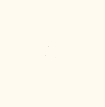 CCC(C)[Si](Cl)(OC)OC(C)C